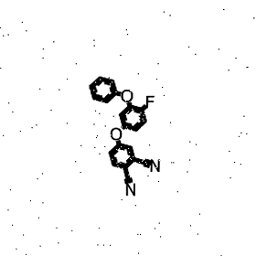 N#Cc1ccc(Oc2ccc(F)c(Oc3ccccc3)c2)cc1C#N